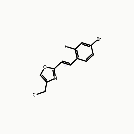 Fc1cc(Br)ccc1/C=C/c1nc(CCl)co1